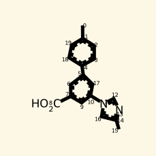 Cc1ccc(-c2cc(C(=O)O)cc(-n3cnc(C)c3)c2)cc1